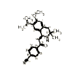 COc1cc2c(cc1N(C)C)/C(=C/C(=O)c1ccc(C#N)cc1)NC(C)(C)C2